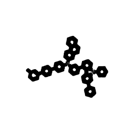 CC1C=C(c2ccc(-c3ccc(N(c4cccc(-c5cccc6c5c5ccc(-c7ccccc7)cc5n6-c5ccccc5)c4)c4ccc5c(ccc6ccccc65)c4)cc3)cc2)C=CC1